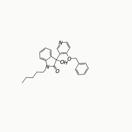 CCCCCN1C(=O)C(O)(c2cnccc2OCc2ccccc2)c2ccccc21